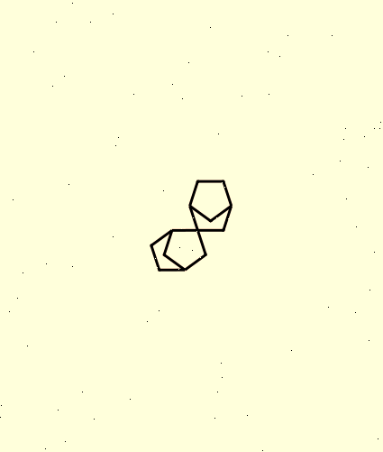 C1CC2CC1CC21CC2CCC1C2